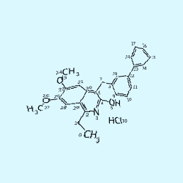 CCc1nc(O)c(Cc2cccc(-c3ccccc3)c2)c2cc(OC)c(OC)cc12.Cl